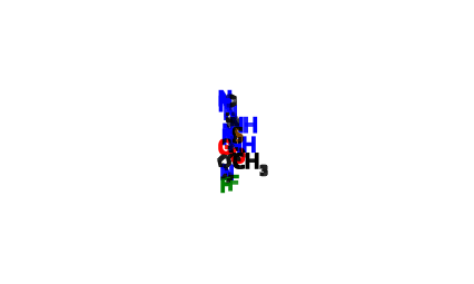 COC(C(=O)Nc1nnc(N[C@@H]2CCN(c3cccnn3)C2)s1)c1cccc(N2CC(F)(F)C2)c1